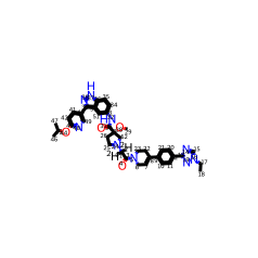 [2H]C([2H])(C(=O)N1CC=C(c2ccc(-c3ncn(CC)n3)cc2)CC1)N1CC[C@@](OC)(C(=O)Nc2ccc3[nH]nc(-c4ccc(OC(C)C)nc4)c3c2)C1